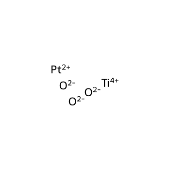 [O-2].[O-2].[O-2].[Pt+2].[Ti+4]